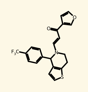 O=C(C=CN1CCc2sccc2C1c1ccc(C(F)(F)F)cc1)c1ccoc1